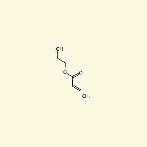 C.C=CC(=O)OCCO